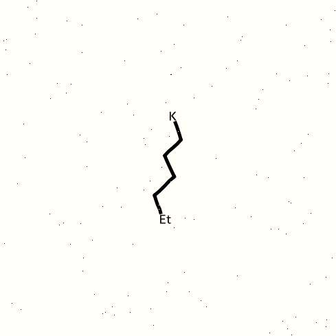 CCCCC[CH2][K]